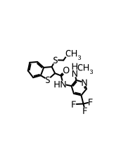 CCSC1c2ccccc2SC1C(=O)Nc1cc(C(F)(F)F)cnc1NC